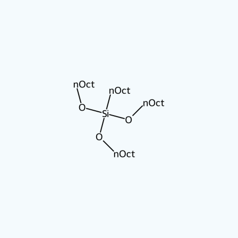 CCCCCCCCO[Si](CCCCCCCC)(OCCCCCCCC)OCCCCCCCC